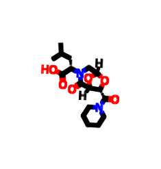 CC(C)C[C@@H](C(=O)O)N1C[C@@H]2O[C@H](C(=O)N3CCCCC3)[C@@H](O2)C1=O